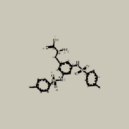 Cc1ccc(S(=O)(=O)Nc2cc(C[C@H](N)C(=O)O)cc(NS(=O)(=O)c3ccc(C)cc3)c2)cc1